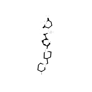 O=C1CC[C@H](NC(=O)c2ccc(N3CCC(CN4CCC[C@H](F)C4)CC3)cn2)C(=O)N1